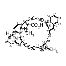 Cc1ccc2c3c(C(=O)O)n(C)c2c1-c1c(nc2n1CCCC2)CSCc1cc(n(C)n1)CSc1cc(c2ccccc2c1)OCCC3